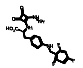 CCCNc1c(N[C@@H](Cc2ccc(NCc3c(F)cc(F)cc3F)cc2)C(=O)O)c(=O)c1=O